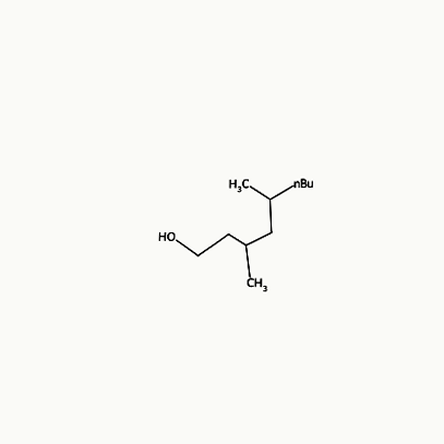 CCCCC(C)CC(C)CCO